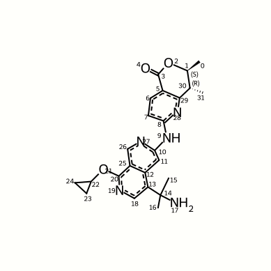 C[C@@H]1OC(=O)c2ccc(Nc3cc4c(C(C)(C)N)cnc(OC5CC5)c4cn3)nc2[C@H]1C